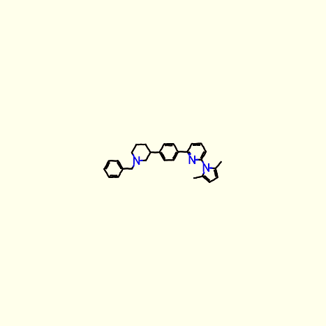 Cc1ccc(C)n1-c1cccc(-c2ccc(C3CCCN(Cc4ccccc4)C3)cc2)n1